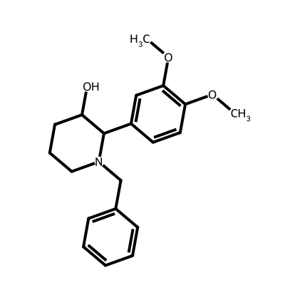 COc1ccc(C2C(O)CCCN2Cc2ccccc2)cc1OC